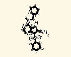 CN(Cc1ccccn1)c1ncnc2c(S(=O)(=O)c3ccccc3)c(N)[nH]c12